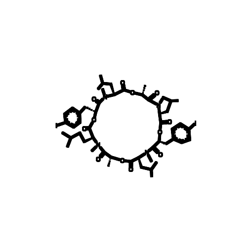 CC(C)CC[C@H]1C(=O)O[C@H](Cc2ccc(I)cc2)C(=O)N(C)[C@@H](CC(C)C)C(=O)O[C@H](C)C(=O)N(C)[C@@H](CC(C)C)C(=O)O[C@H](Cc2ccc(I)cc2)C(=O)N(C)[C@@H](CC(C)C)C(=O)O[C@H](C)C(=O)N1C